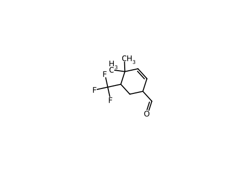 CC1(C)C=CC(C=O)CC1C(F)(F)F